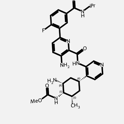 COC(=O)N[C@@H]1[C@H](N)C[C@H](c2ccncc2NC(=O)c2nc(-c3cc(C(=O)NC(C)C)ccc3F)ccc2N)C[C@@H]1C